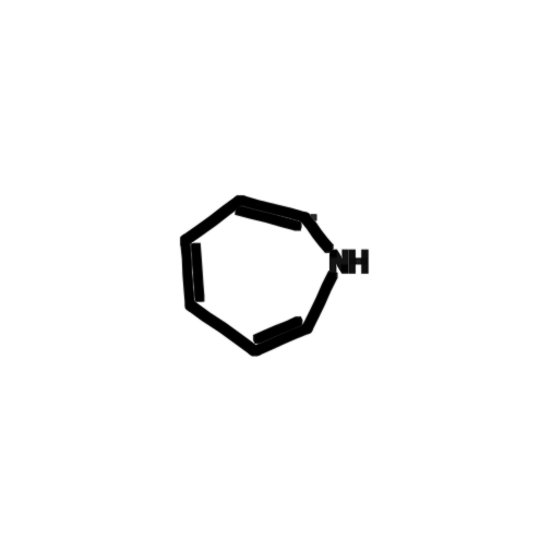 [C]1=CC=CC=CN1